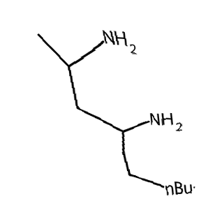 CCC[CH]CC(N)CC(C)N